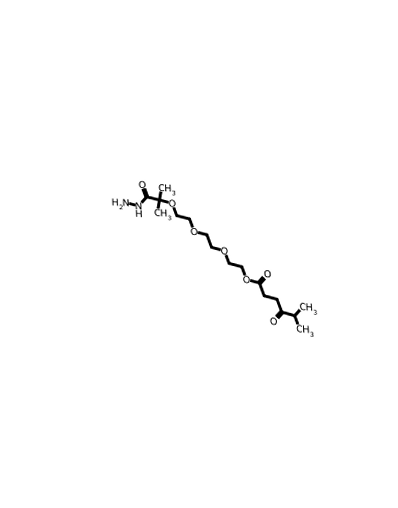 CC(C)C(=O)CCC(=O)OCCOCCOCCOC(C)(C)C(=O)NN